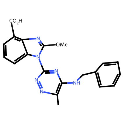 COc1nc2c(C(=O)O)cccc2n1-c1nnc(C)c(NCc2ccccc2)n1